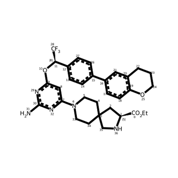 CCOC(=O)[C@@H]1CC2(CCN(c3cc(O[C@H](c4ccc(-c5ccc6c(c5)CCCO6)cc4)C(F)(F)F)nc(N)n3)CC2)CN1